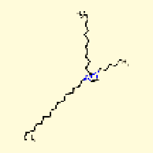 CCCCCCCCCCCCCCCC[n+]1ccn(CCCCC)c1CCCCCCCCCCC